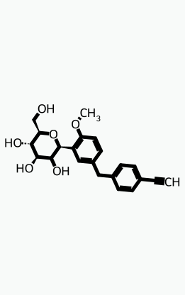 C#Cc1ccc(Cc2ccc(OC)c([C@@H]3O[C@H](CO)[C@@H](O)[C@H](O)C3O)c2)cc1